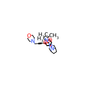 CC(C)(C)OC(=O)N1CC2CCC(C1)N2c1ccnc(C#CCN2CCOCC2)c1